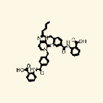 CCCCc1nc2ccn(Cc3ccc(C(=O)Nc4ccccc4C(=O)O)cc3)c(=O)c2n1Cc1ccc(C(=O)Nc2ccccc2C(=O)O)cc1